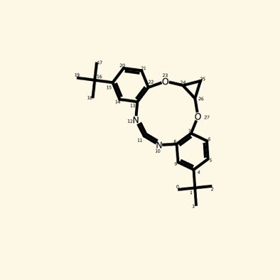 CC(C)(C)c1ccc2c(c1)N=C=Nc1cc(C(C)(C)C)ccc1OC1CC1O2